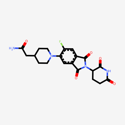 NC(=O)CC1CCN(c2cc3c(cc2F)C(=O)N(C2CCC(=O)NC2=O)C3=O)CC1